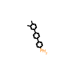 Cc1ccc(-c2ccc(-c3ccc(P)cc3)cc2)cc1C